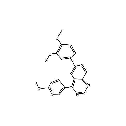 COc1ccc(-c2ncnc3ccc(-c4ccc(OC)c(OC)c4)cc23)cn1